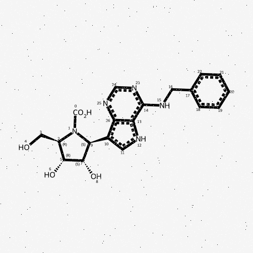 O=C(O)N1[C@H](CO)[C@@H](O)[C@@H](O)[C@@H]1c1c[nH]c2c(NCc3ccccc3)ncnc12